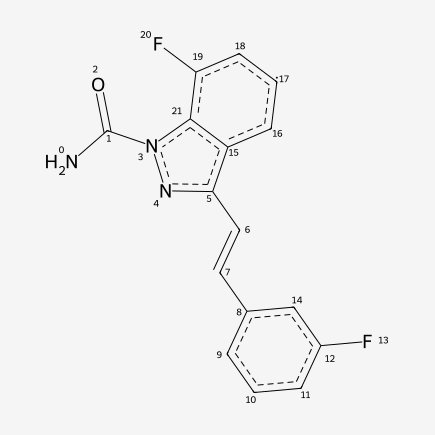 NC(=O)n1nc(/C=C/c2cccc(F)c2)c2c[c]cc(F)c21